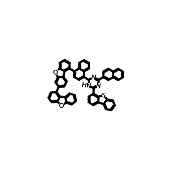 c1ccc2cc(C3=NC(c4ccc(-c5cccc6oc7cc(-c8cccc9oc%10ccccc%10c89)ccc7c56)c5ccccc45)NC(c4cccc5c4sc4ccccc45)=N3)ccc2c1